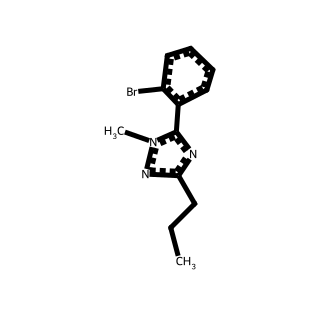 CCCc1nc(-c2ccccc2Br)n(C)n1